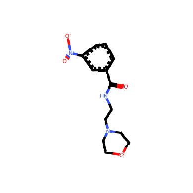 O=C(NCCN1CCOCC1)c1cccc([N+](=O)[O-])c1